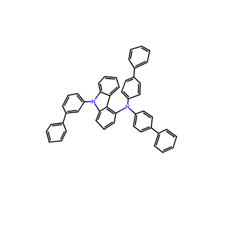 c1ccc(-c2ccc(N(c3ccc(-c4ccccc4)cc3)c3cccc4c3c3ccccc3n4-c3cccc(-c4ccccc4)c3)cc2)cc1